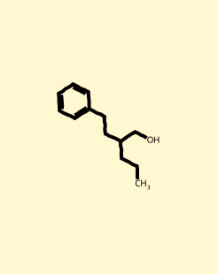 CCCC(CO)CCc1ccccc1